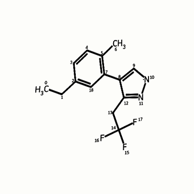 CCc1ccc(C)c(C2=C[N]N=C2CC(F)(F)F)c1